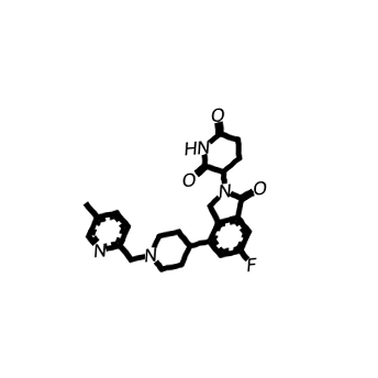 Cc1ccc(CN2CCC(c3cc(F)cc4c3CN(C3CCC(=O)NC3=O)C4=O)CC2)nc1